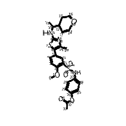 COc1ccc(-c2sc(NC(C)C3CCOCC3)nc2C)cc1S(=O)(=O)Nc1ccc(OC(C)=O)cc1